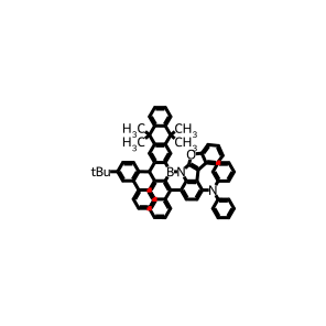 CC(C)(C)c1ccc(C2c3cc4c(cc3B3c5c2cc2ccccc2c5-c2ccc(N(c5ccccc5)c5ccccc5)c5c6c7ccccc7oc6n3c25)C(C)(C)c2ccccc2C4(C)C)c(-c2ccccc2)c1